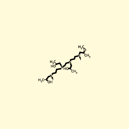 CO[C@H](C)CN(I)CCCN(CCN(CCCCN(I)C[C@@H](C)O)C[C@@H](C)O)C[C@@H](C)O